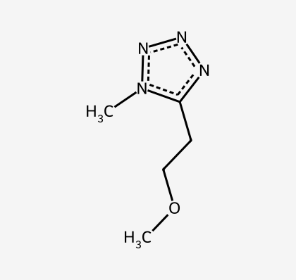 COCCc1nnnn1C